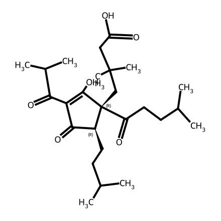 CC(C)CCC(=O)[C@@]1(CC(C)(C)CC(=O)O)C(O)=C(C(=O)C(C)C)C(=O)[C@@H]1CCC(C)C